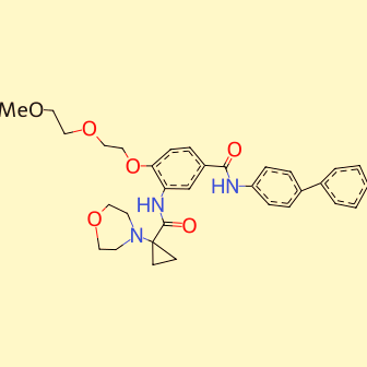 COCCOCCOc1ccc(C(=O)Nc2ccc(-c3ccccc3)cc2)cc1NC(=O)C1(N2CCOCC2)CC1